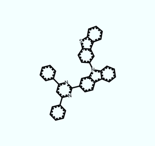 c1ccc(-c2cc(-c3ccccc3)nc(-c3ccc4c5ccccc5n(-c5ccc6sc7ccccc7c6c5)c4c3)n2)cc1